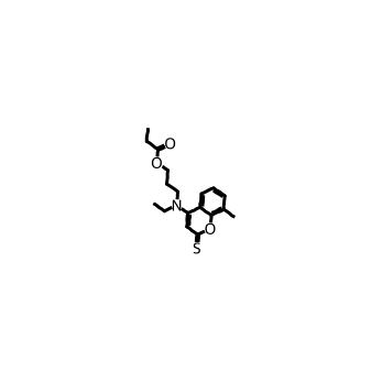 CCC(=O)OCCCN(CC)c1cc(=S)oc2c(C)cccc12